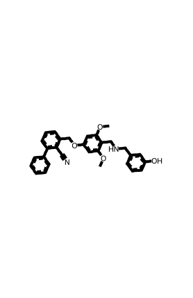 COc1cc(OCc2cccc(-c3ccccc3)c2C#N)cc(OC)c1CNCc1cccc(O)c1